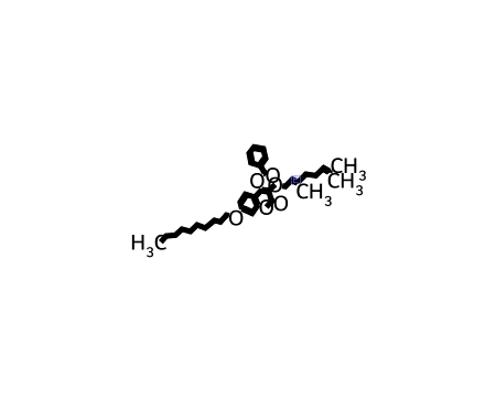 CCCCCCCCCCOc1ccc2c(OC(=O)c3ccccc3)c(OC/C=C(\C)CCC=C(C)C)c(=O)oc2c1